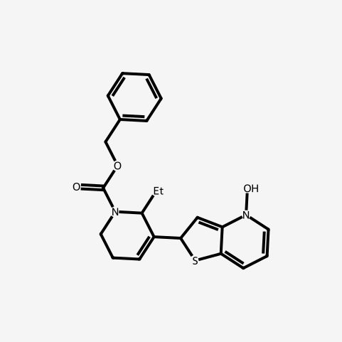 CCC1C(C2C=C3C(=CC=CN3O)S2)=CCCN1C(=O)OCc1ccccc1